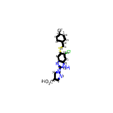 O=C(O)c1cnn(-c2nc3cc(SCc4ccc(C(F)(F)F)cc4)c(Cl)cc3[nH]2)c1